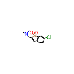 CN(C)CC1=Cc2ccc(Cl)cc2S1(=O)=O